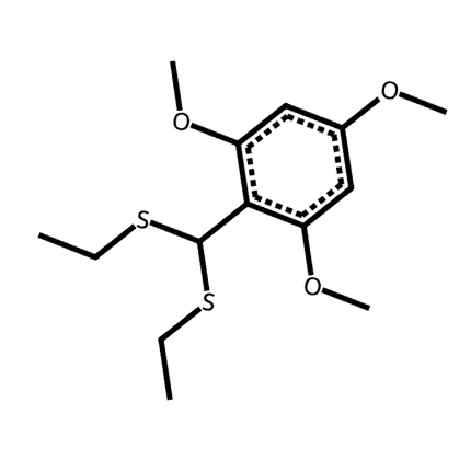 CCSC(SCC)c1c(OC)cc(OC)cc1OC